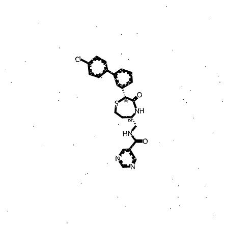 O=C(NC[C@@H]1CCS[C@H](c2cccc(-c3ccc(Cl)cc3)c2)C(=O)N1)c1cncnc1